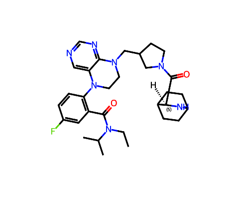 CCN(C(=O)c1cc(F)ccc1N1CCN(CC2CCN(C(=O)[C@H]3NC4CCC3CC4)C2)c2ncncc21)C(C)C